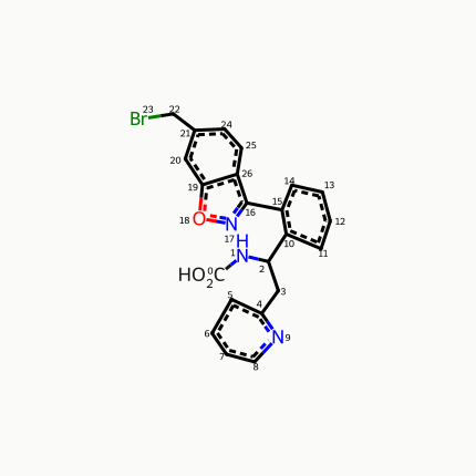 O=C(O)NC(Cc1ccccn1)c1ccccc1-c1noc2cc(CBr)ccc12